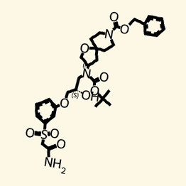 CC(C)(C)OC(=O)N(C[C@H](O)COc1cccc(S(=O)(=O)CC(N)=O)c1)[C@H]1COC2(CCN(C(=O)OCc3ccccc3)CC2)C1